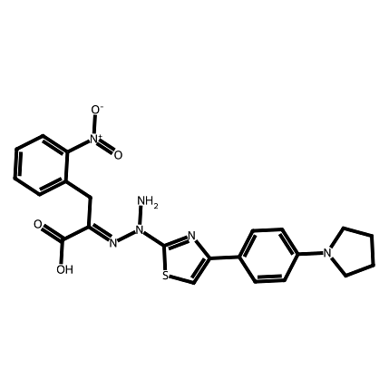 NN(/N=C(\Cc1ccccc1[N+](=O)[O-])C(=O)O)c1nc(-c2ccc(N3CCCC3)cc2)cs1